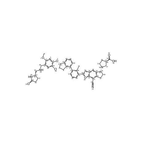 COc1nc(O[C@H]2CCc3c(-c4cccc(-c5cc6cc7c(c(C#N)c6o5)CC[C@H]7N5CC[C@@H](C(=O)O)C5)c4C)cccc32)c(Cl)cc1CNC[C@H]1CCC(=O)N1